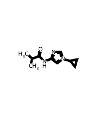 CC(C)C(=O)Nc1cn(C2CC2)cn1